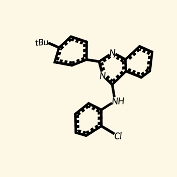 CC(C)(C)c1ccc(-c2nc(Nc3ccccc3Cl)c3ccccc3n2)cc1